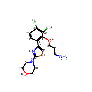 NCCCOc1c(-c2csc(N3CCOCC3)n2)ccc(F)c1F